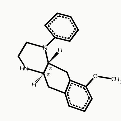 COc1cccc2c1C[C@@H]1[C@@H](C2)NCCN1c1ccccc1